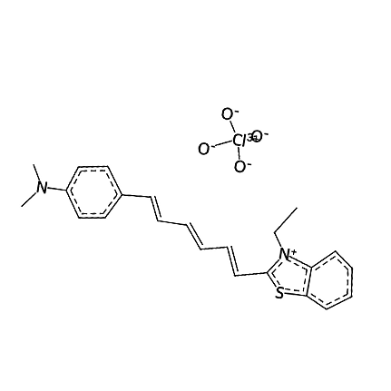 CC[n+]1c(C=CC=CC=Cc2ccc(N(C)C)cc2)sc2ccccc21.[O-][Cl+3]([O-])([O-])[O-]